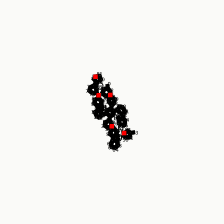 Cc1cccc(N(c2ccc3c4cccc5c6c(-c7ccccc7)c7c(c(-c8ccccc8)c6n(c3c2)c45)c2cccc3c4ccc(N(c5cccc(C)c5)c5cccc6c5oc5ccccc56)cc4n7c32)c2cccc3c2oc2ccccc23)c1